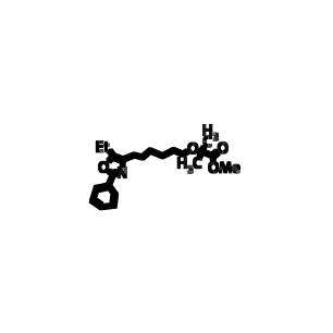 CCc1oc(-c2ccccc2)nc1CCCCCCOC(C)(C)C(=O)OC